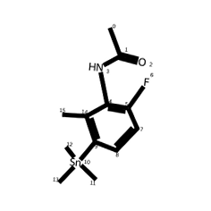 CC(=O)Nc1c(F)cc[c]([Sn]([CH3])([CH3])[CH3])c1C